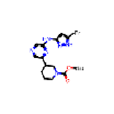 CC(C)c1cc(Nc2cncc(C3CCCN(C(=O)OC(C)(C)C)C3)n2)n[nH]1